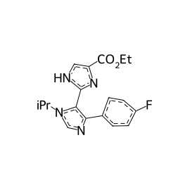 CCOC(=O)c1c[nH]c(-c2c(-c3ccc(F)cc3)ncn2C(C)C)n1